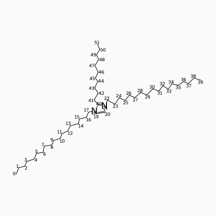 CCCCCCCCCCCCCCCCCCN1C=CN(CCCCCCCCCCCCCCCCCC)C1CCCCCCCCCCC